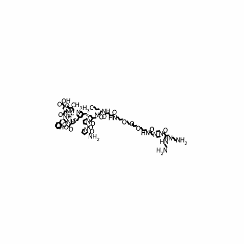 CCCC[C@H](NC(=O)CCC(=O)NCCCOCCOCCOCCCNC(=O)CN1CCN(C(=O)C(CNCCN)CNCCN)CC1)C(=O)N=CC(CSCc1cncc(CSCC(NC(=O)[C@H](Cc2ccccc2)NC(=O)[C@H](CCC(=O)O)NC(=O)[C@@H](C)CC)C(=O)O)c1)C(=O)N1CCC[C@H]1C(=O)N1CCC[C@H]1C(N)=O